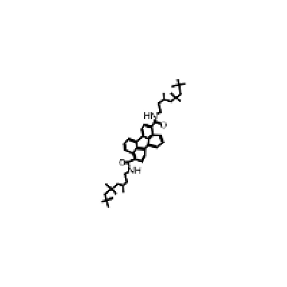 CC(CCNC(=O)c1ccc2c3cccc4c(C(=O)NCCC(C)CC(C)(C)CC(C)(C)C)ccc(c5cccc1c52)c43)CC(C)(C)CC(C)(C)C